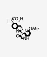 COc1ccc2c(n1)N(c1ncc3c(n1)CCC(NC(=O)O)C3)C(=O)CN2